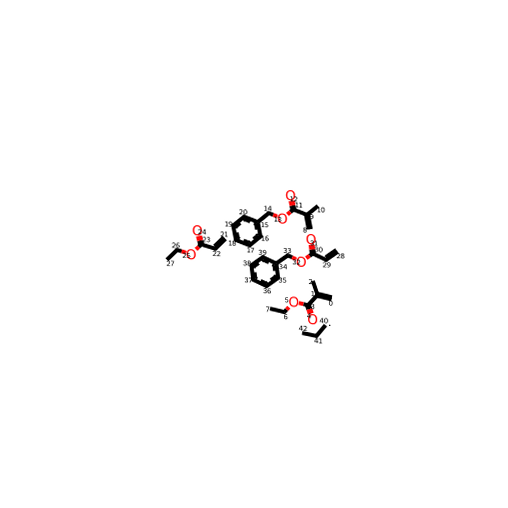 C=C(C)C(=O)OCC.C=C(C)C(=O)OCc1ccccc1.C=CC(=O)OCC.C=CC(=O)OCc1ccccc1.[CH2]CC